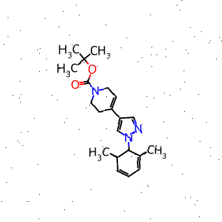 CC1=CC=CC(C)C1n1cc(C2=CCN(C(=O)OC(C)(C)C)CC2)cn1